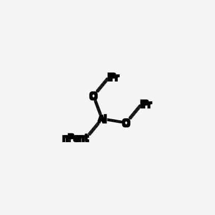 CCCC[CH2][Al]([O]C(C)C)[O]C(C)C